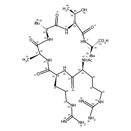 CC[C@H](C)[C@H](NC(=O)[C@@H](NC(=O)[C@@H](NC(=O)[C@H](C)NC(=O)[C@H](CCCNC(=N)N)NC(=O)[C@H](CCCNC(=N)N)NC(C)=O)[C@@H](C)CC)[C@@H](C)O)C(=O)O